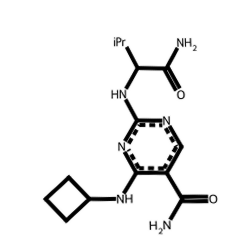 CC(C)C(Nc1ncc(C(N)=O)c(NC2CCC2)n1)C(N)=O